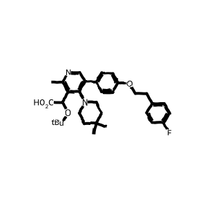 Cc1ncc(-c2ccc(OCCc3ccc(F)cc3)cc2)c(N2CCC(C)(C)CC2)c1C(OC(C)(C)C)C(=O)O